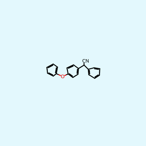 N#CC(c1ccccc1)c1ccc(Oc2ccccc2)cc1